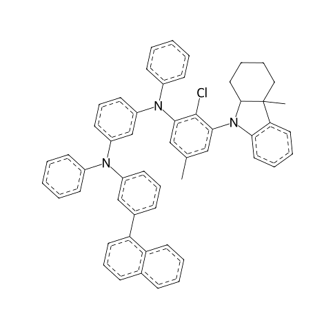 Cc1cc(N(c2ccccc2)c2cccc(N(c3ccccc3)c3cccc(-c4cccc5ccccc45)c3)c2)c(Cl)c(N2c3ccccc3C3(C)CCCCC23)c1